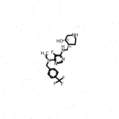 CCN(Cc1ccc(C(F)(F)F)cc1)c1ncnc(NC[C@@H]2CCNC[C@H]2O)c1F